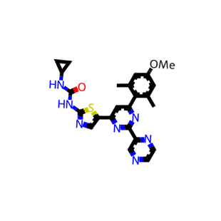 COc1cc(C)c(-c2cc(-c3cnc(NC(=O)NC4CC4)s3)nc(-c3cnccn3)n2)c(C)c1